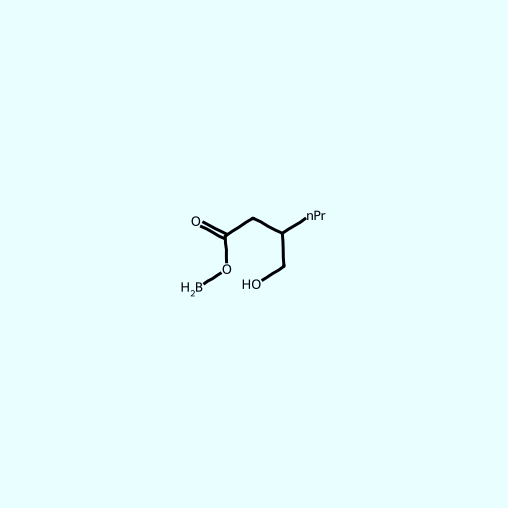 BOC(=O)CC(CO)CCC